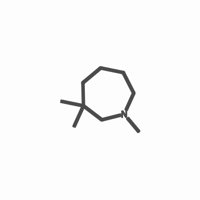 CN1CCCCC(C)(C)C1